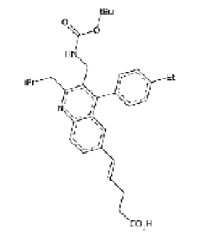 CCc1ccc(-c2c(CNC(=O)OC(C)(C)C)c(CC(C)C)nc3ccc(C=CCCC(=O)O)cc23)cc1